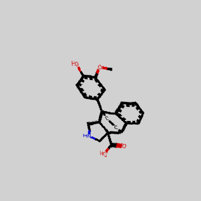 COc1cc(C23CCC(c4ccccc42)C2(C(=O)O)CNCC32)ccc1O